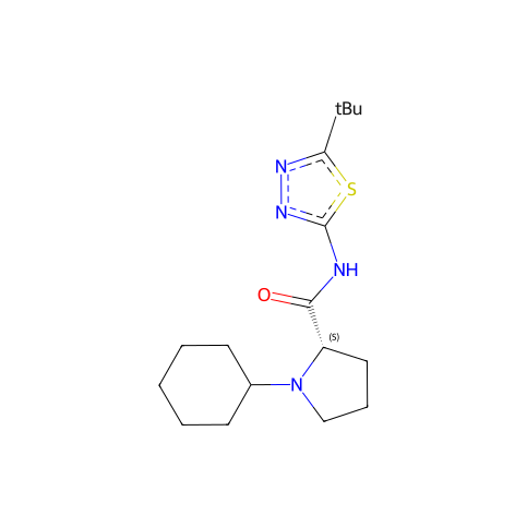 CC(C)(C)c1nnc(NC(=O)[C@@H]2CCCN2C2CCCCC2)s1